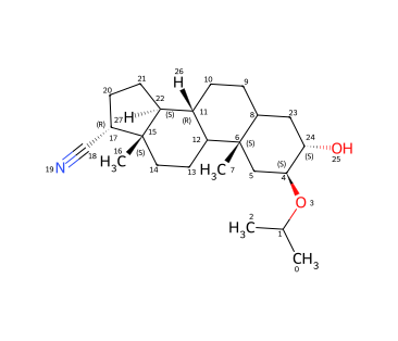 CC(C)O[C@H]1C[C@@]2(C)C(CC[C@@H]3C2CC[C@]2(C)[C@H](C#N)CC[C@@H]32)C[C@@H]1O